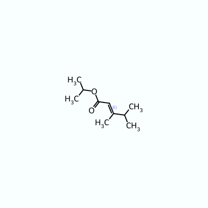 C/C(=C\C(=O)OC(C)C)C(C)C